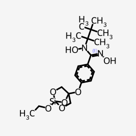 CCO[Si]12OCC(Oc3ccc(/C(=N\O)N(O)C(C)(C)C(C)(C)C)cc3)(CO1)O2